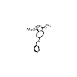 CO/C(O)=C1\CCC(OCc2ccccc2)CCN1C(=O)OC(C)(C)C